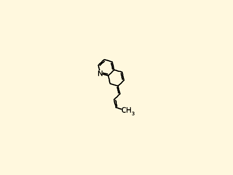 C/C=C\C=C1\C=Cc2cccnc2C1